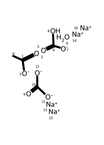 CC(=O)[O-].O.O=C([O-])O.O=C([O-])[O-].[Na+].[Na+].[Na+].[Na+]